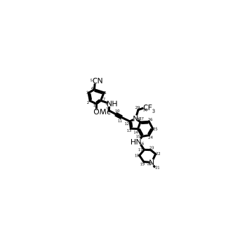 COc1ccc(C#N)cc1NCC#Cc1cc2c(NC3CCN(C)CC3)cccc2n1CC(F)(F)F